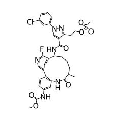 COC(=O)Nc1ccc2c(c1)NC(=O)C(C)CCC[C@H](NC(=O)c1cn(-c3cccc(Cl)c3)nc1CCOS(C)(=O)=O)c1cc-2cnc1F